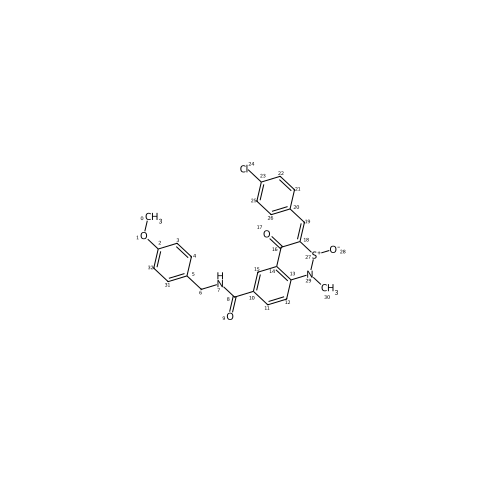 COc1ccc(CNC(=O)c2ccc3c(c2)C(=O)/C(=C\c2ccc(Cl)cc2)[S+]([O-])N3C)cc1